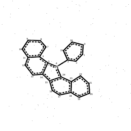 c1ccc(-n2c3c4ccccc4ccc3c3ccc4ccccc4c32)cc1